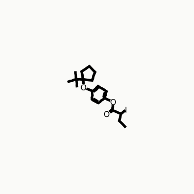 CCC(I)C(=O)Oc1ccc(OC2(C(C)(C)C)CCCC2)cc1